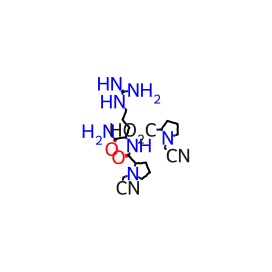 N#CCN1CCCC1C(=O)NC(CCCNC(=N)N)C(N)=O.N#CCN1CCCC1C(=O)O